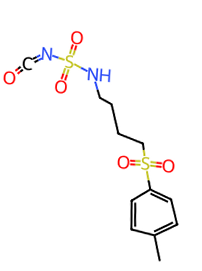 Cc1ccc(S(=O)(=O)CCCCNS(=O)(=O)N=C=O)cc1